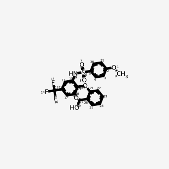 COc1ccc(S(=O)(=O)Nc2cc(C(F)(F)F)ccc2Oc2ccccc2C(=O)O)cc1